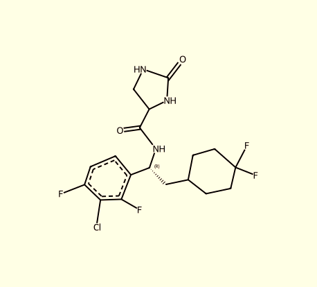 O=C1NCC(C(=O)N[C@H](CC2CCC(F)(F)CC2)c2ccc(F)c(Cl)c2F)N1